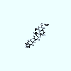 COc1cc(F)c2c(Nc3ccc(Oc4ccn5ncnc5c4)cc3)ncnc2c1